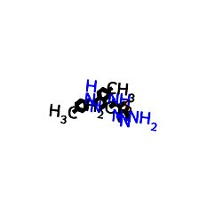 C=C(Nc1c(C)ccc2c(Nc3ccc(C)cc3)nccc12)c1csc2c(N)ncnc12